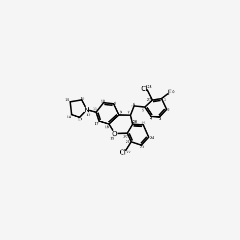 Fc1cccc([CH]C2c3ccc(N4CCCC4)cc3Oc3c(Cl)cccc32)c1Cl